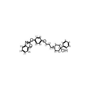 OC1(c2ccccc2)CCN(CCCOc2ccc(Oc3nc4ccccc4o3)cc2)CC1